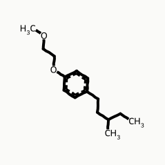 CCC(C)CCc1ccc(OCCOC)cc1